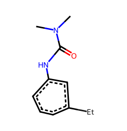 CCc1cccc(NC(=O)N(C)C)c1